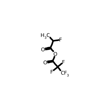 CC(F)C(=O)OC(=O)C(F)(F)C(F)(F)F